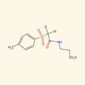 [Li][C](Br)(C(=O)NCCS(=O)(=O)O)S(=O)(=O)c1ccc(C)cc1